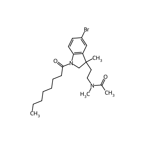 CCCCCCCC(=O)N1CC(C)(CCN(C)C(C)=O)c2cc(Br)ccc21